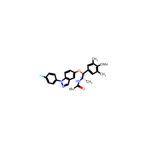 COc1c(C)cc([C@H](Oc2ccc3c(cnn3-c3ccc(F)cc3)c2)[C@H](C)NC(=O)C(C)(C)C)cc1C